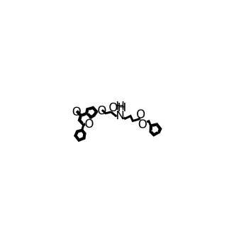 O=C(CCCNCC(O)COc1ccc2c(=O)cc(-c3ccccc3)oc2c1)OCc1ccccc1